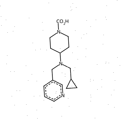 O=C(O)N1CCC(N(Cc2cccnc2)CC2CC2)CC1